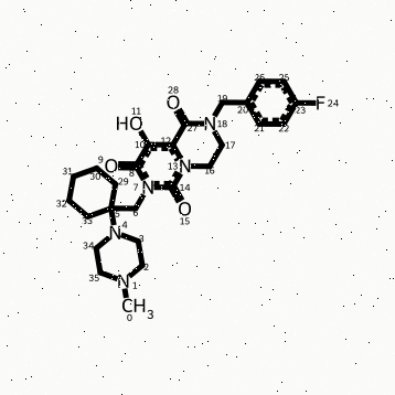 CN1CCN(C2(Cn3c(=O)c(O)c4n(c3=O)CCN(Cc3ccc(F)cc3)C4=O)CCCCC2)CC1